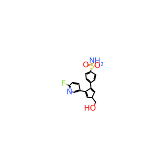 NS(=O)(=O)c1ccc(C2=CC(CO)C=C2c2ccc(F)nc2)cc1